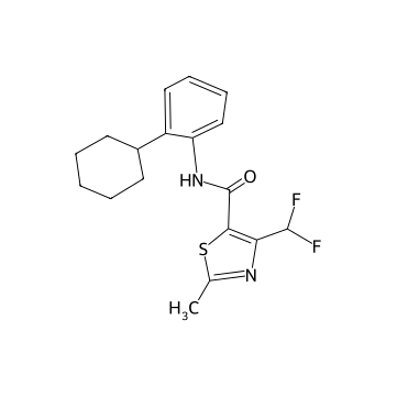 Cc1nc(C(F)F)c(C(=O)Nc2ccccc2C2CCCCC2)s1